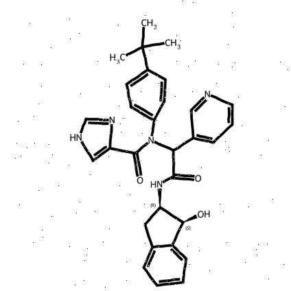 CC(C)(C)c1ccc(N(C(=O)c2c[nH]cn2)C(C(=O)N[C@@H]2Cc3ccccc3[C@@H]2O)c2cccnc2)cc1